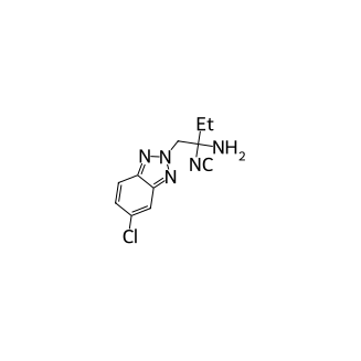 [C-]#[N+]C(N)(CC)Cn1nc2ccc(Cl)cc2n1